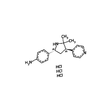 CC1(C)N[C@@H](c2ccc(N)cc2)C[C@@H]1c1ccncc1.Cl.Cl.Cl